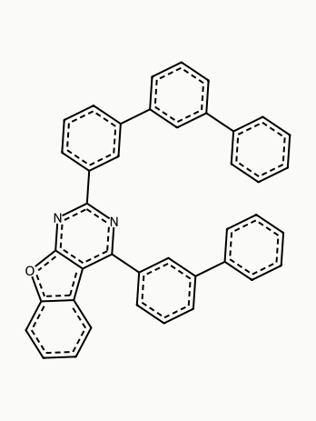 c1ccc(-c2cccc(-c3cccc(-c4nc(-c5cccc(-c6ccccc6)c5)c5c(n4)oc4ccccc45)c3)c2)cc1